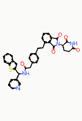 O=C1CCC(N2C(=O)c3cccc(CCc4ccc(CC(=O)NC(c5cccnc5)c5cc6ccccc6s5)cc4)c3C2=O)C(=O)N1